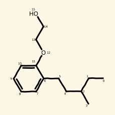 CCC(C)CCc1ccccc1OCCO